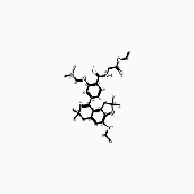 CCOC(=O)CNC(=O)c1ccc(C2=NC(C)(C)Cc3cc(OCC)c4c(c32)CC(C)(C)O4)cc1N=CN(C)C